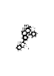 Cc1ncccc1NC(=O)c1ccc2c(c1)C=C[C@@H]1C[C@@](O)(C(F)(F)F)CC[C@@]21Cc1ccccc1